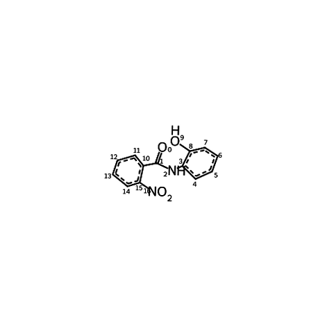 O=C(Nc1ccccc1O)c1ccccc1[N+](=O)[O-]